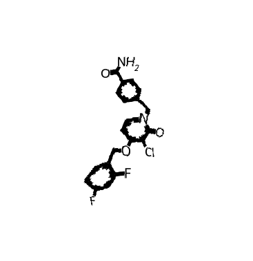 NC(=O)c1ccc(Cn2ccc(OCc3ccc(F)cc3F)c(Cl)c2=O)cc1